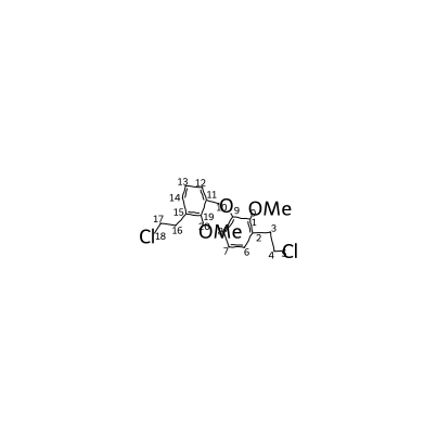 COc1c(CCCl)cccc1Oc1cccc(CCCl)c1OC